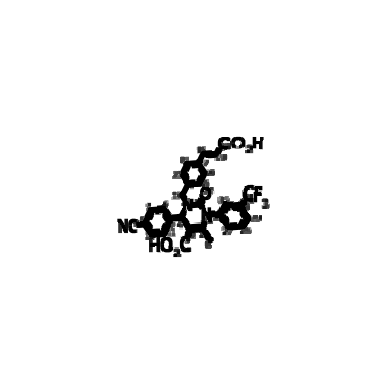 CC1=C(C(=O)O)C(c2ccc(C#N)cc2)N(Cc2ccc(C=CC(=O)O)cc2)C(=O)N1c1cccc(C(F)(F)F)c1